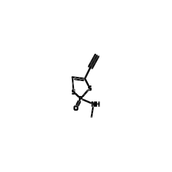 C#CC1=CSP(=O)(NC)S1